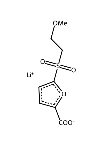 COCCS(=O)(=O)c1ccc(C(=O)[O-])o1.[Li+]